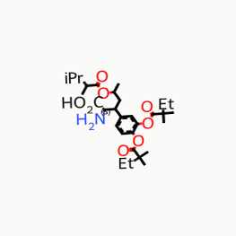 CCC(C)(C)C(=O)Oc1ccc(C(CC(C)OC(=O)C(C)C(C)C)[C@H](N)C(=O)O)cc1OC(=O)C(C)(C)CC